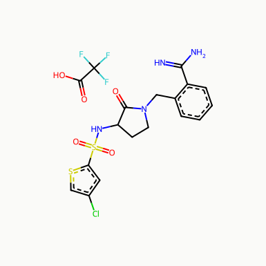 N=C(N)c1ccccc1CN1CCC(NS(=O)(=O)c2cc(Cl)cs2)C1=O.O=C(O)C(F)(F)F